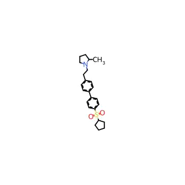 CC1CCCN1CCc1ccc(-c2ccc(S(=O)(=O)C3CCCC3)cc2)cc1